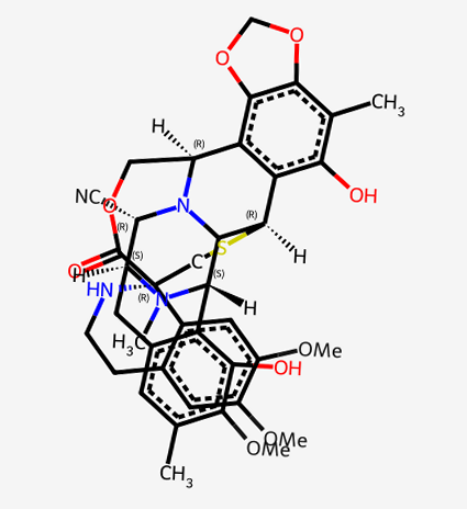 COc1cc2c(cc1OC)[C@@]1(CS[C@@H]3c4c(O)c(C)c5c(c4[C@H](COC1=O)N1C3[C@@H]3c4c(cc(C)c(OC)c4O)C[C@@H]([C@@H]1C#N)N3C)OCO5)NCC2